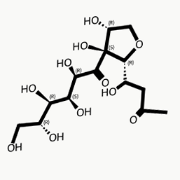 CC(=O)CC(O)[C@H]1OC[C@@H](O)[C@@]1(O)C(=O)[C@H](O)[C@@H](O)[C@H](O)[C@H](O)CO